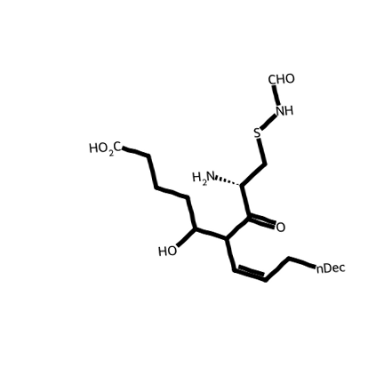 CCCCCCCCCCC/C=C\C(C(=O)[C@H](N)CSNC=O)C(O)CCCC(=O)O